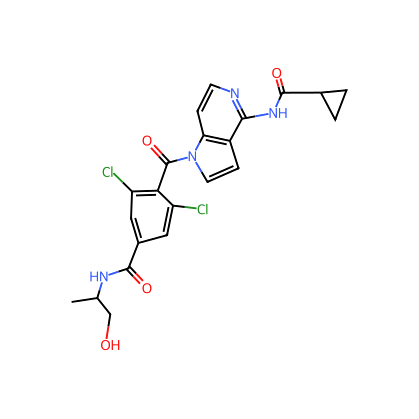 CC(CO)NC(=O)c1cc(Cl)c(C(=O)n2ccc3c(NC(=O)C4CC4)nccc32)c(Cl)c1